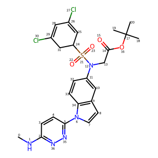 CNc1ccc(-n2ccc3cc(N(CC(=O)OC(C)(C)C)S(=O)(=O)C4C=C(Cl)C=C(Cl)C4)ccc32)nn1